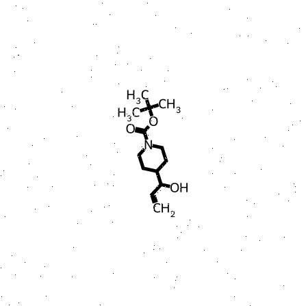 C=CC(O)C1CCN(C(=O)OC(C)(C)C)CC1